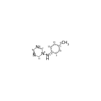 Cc1ccc(NN2C=NC=NC2)cc1